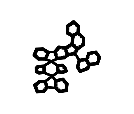 c1ccc2c(c1)-c1ccccc1C21c2ccccc2C2(c3ccccc3-c3cc4c5c6ccccc6ccc5n(-c5cccc6ccccc56)c4cc32)c2ccccc21